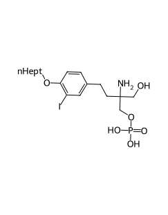 CCCCCCCOc1ccc(CCC(N)(CO)COP(=O)(O)O)cc1I